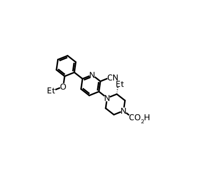 CCOc1ccccc1-c1ccc(N2CCN(C(=O)O)C[C@H]2CC)c(C#N)n1